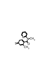 CC1=CC(=S)CC=C1C(=O)N(C)c1ccccn1